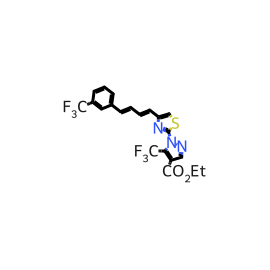 CCOC(=O)c1cnn(-c2nc(/C=C/C=C/c3cccc(C(F)(F)F)c3)cs2)c1C(F)(F)F